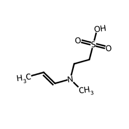 CC=CN(C)CCS(=O)(=O)O